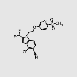 CS(=O)(=O)c1ccc(OCCn2c(C(F)F)cc3c(Cl)c(C#N)ccc32)cn1